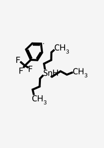 CCC[CH2][SnH]([CH2]CCC)[CH2]CCC.FC(F)(F)c1cc[c]cc1